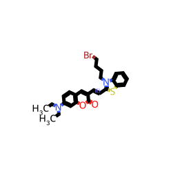 CCN(CC)c1ccc2cc(/C=C/c3sc4ccccc4[n+]3CCCCBr)c(=O)oc2c1